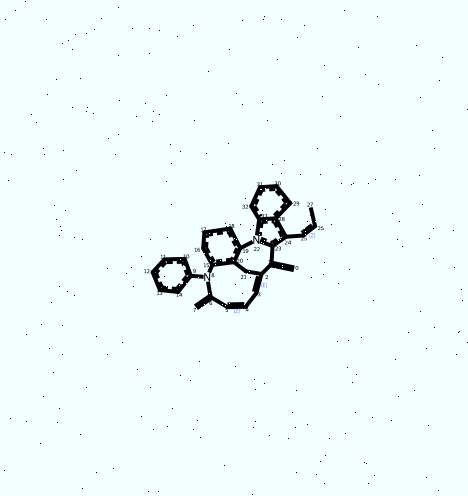 C=C1/C2=C/C=C\C(=C)N(c3ccccc3)c3cccc(c3C2)-n2c1c(/C=C\C)c1ccccc12